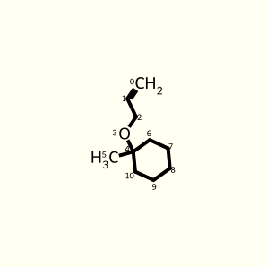 C=CCOC1(C)CCCCC1